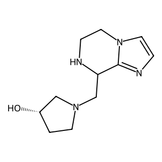 O[C@H]1CCN(CC2NCCn3ccnc32)C1